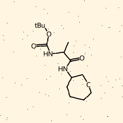 CC(NC(=O)OC(C)(C)C)C(=O)NC1CCCCCC1